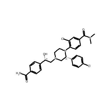 CN(C)C(=O)c1ccc(N2CCN(C[C@@H](O)c3ccc(C(N)=O)cc3)C[C@H]2c2ccc(Cl)cc2)c(Cl)c1